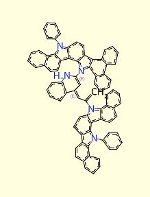 C=C(/C=C(\C=C(/N)n1c2c3ccccc3c3ccccc3c2c2ccc3c(c4ccc5ccccc5c4n3-c3ccccc3)c21)c1ccccc1)n1c2ccc3c4ccc5ccccc5c4n(-c4ccccc4)c3c2c2ccc3ccccc3c21